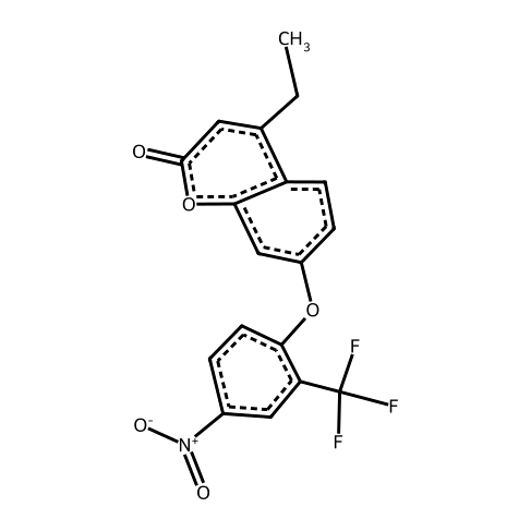 CCc1cc(=O)oc2cc(Oc3ccc([N+](=O)[O-])cc3C(F)(F)F)ccc12